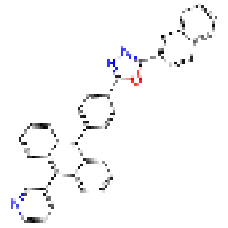 c1cncc(-c2c3ccccc3c(-c3ccc(-c4nnc(-c5ccc6ccccc6c5)o4)cc3)c3ccccc23)c1